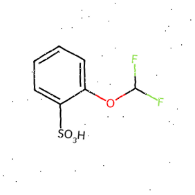 O=S(=O)(O)c1ccccc1OC(F)F